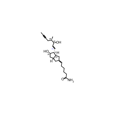 CC#CC[C@@H](C)[C@@H](O)/C=C/[C@@H]1[C@H]2CC(=CCCCCC(N)=O)C[C@H]2C[C@H]1O